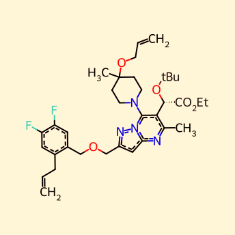 C=CCOC1(C)CCN(c2c([C@H](OC(C)(C)C)C(=O)OCC)c(C)nc3cc(COCc4cc(F)c(F)cc4CC=C)nn23)CC1